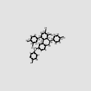 Cc1ccc(Oc2ccc3c(c2)-c2c(-c4ccc(C)c(C)c4)cc(C)c(C)c2C(c2ccc(C)cc2)C3)cc1